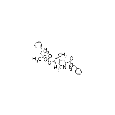 Cc1cc(OC(=O)OC(C)(C)CCc2ccccc2)cc(C)c1CC(N)C(=O)OCc1ccccc1